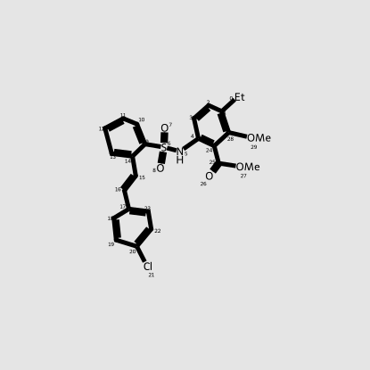 CCc1ccc(NS(=O)(=O)c2ccccc2C=Cc2ccc(Cl)cc2)c(C(=O)OC)c1OC